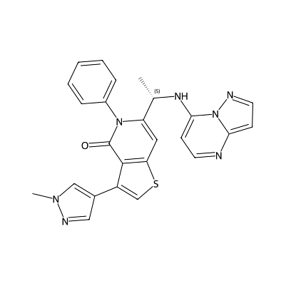 C[C@H](Nc1ccnc2ccnn12)c1cc2scc(-c3cnn(C)c3)c2c(=O)n1-c1ccccc1